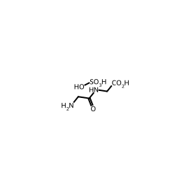 NCC(=O)NCC(=O)O.O=S(=O)(O)O